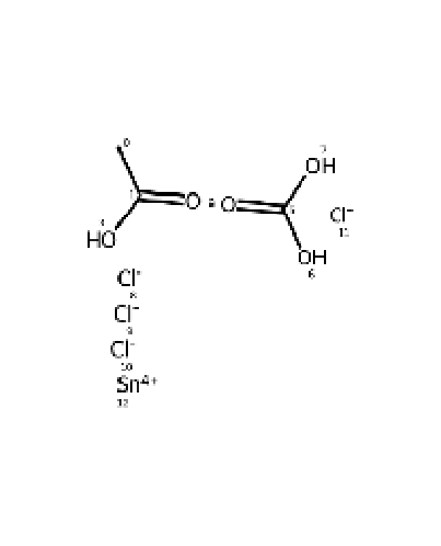 CC(=O)O.O=C(O)O.[Cl-].[Cl-].[Cl-].[Cl-].[Sn+4]